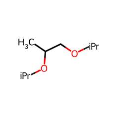 CC(C)OCC(C)OC(C)C